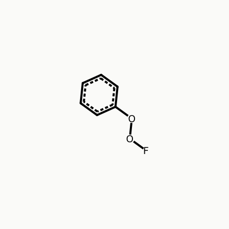 FOOc1ccccc1